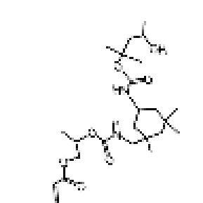 C=CC(=O)OCC(C)OC(=O)NCC1(C)CC(NC(=O)OC(C)(C)CC(C)O)CC(C)(C)C1